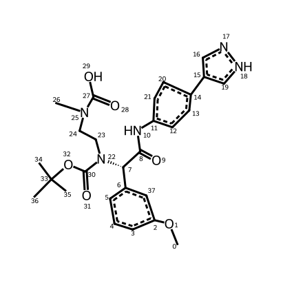 COc1cccc([C@@H](C(=O)Nc2ccc(-c3cn[nH]c3)cc2)N(CCN(C)C(=O)O)C(=O)OC(C)(C)C)c1